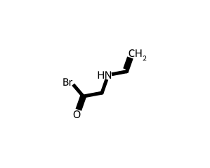 C=CNCC(=O)Br